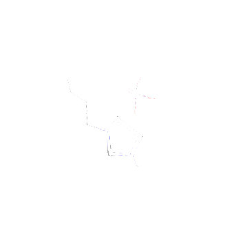 C[n+]1ccn(CCCS(=O)(=O)O)c1.O=P([O-])([O-])[O-].[H+].[H+]